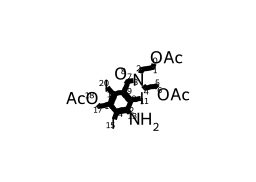 CC(=O)OCCN(CCOC(C)=O)C(=O)c1c(I)c(N)c(I)c(COC(C)=O)c1I